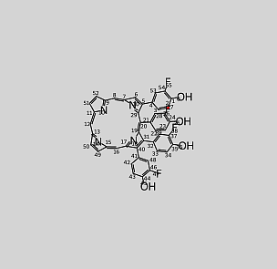 Oc1ccc(C2=CC3=CC4=NC(=CC5=NC(=CC6=NC(=C(c7ccc(O)c(F)c7)C2=N3)C(c2ccc(O)c(F)c2)=C6c2ccc(O)c(F)c2)C=C5)C=C4)cc1F